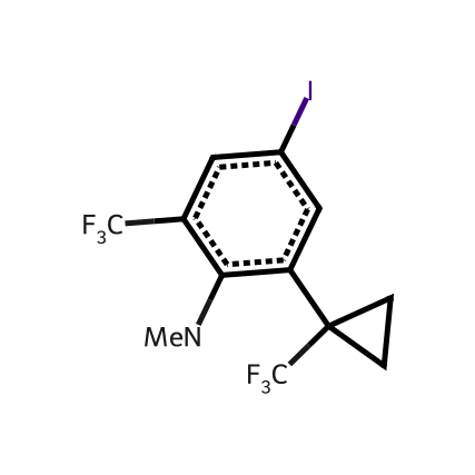 CNc1c(C(F)(F)F)cc(I)cc1C1(C(F)(F)F)CC1